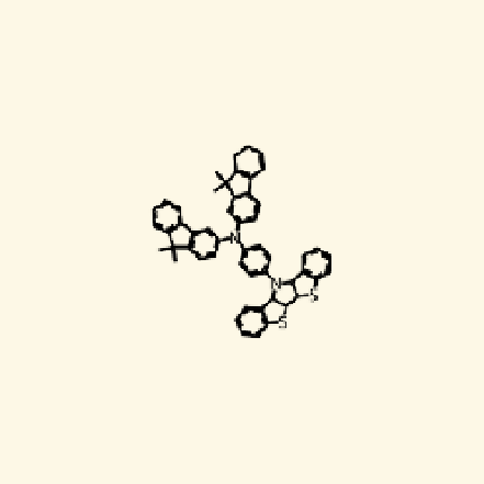 CC1(C)C2=C(C=CCC2)c2ccc(N(c3ccc(N4C5c6ccccc6SC5C5Sc6ccccc6C54)cc3)c3ccc4c(c3)-c3ccccc3C4(C)C)cc21